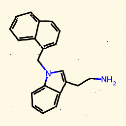 NCCc1cn(Cc2cccc3ccccc23)c2ccccc12